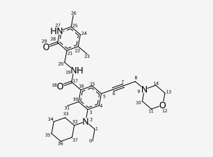 CCN(c1cc(C#CCN2CCOCC2)cc(C(=O)NCc2c(C)cc(C)[nH]c2=O)c1C)C1CCCCC1